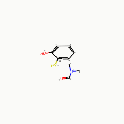 CN(C)C=O.Oc1ccccc1S